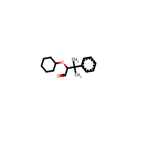 CC(C)(c1ccccc1)C(C=O)OC1CCCCC1